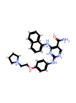 NC(=O)c1cnc(Nc2ccc(OCCN3CCCC3)cc2)nc1Nc1cccc2ccccc12